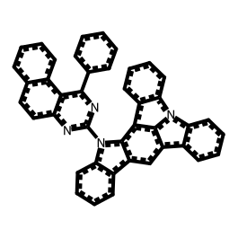 c1ccc(-c2nc(-n3c4ccccc4c4cc5c6ccccc6n6c7ccccc7c(c43)c56)nc3ccc4ccccc4c23)cc1